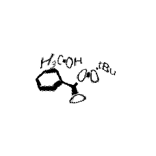 CC(C)(C)OOC(=O)c1ccccc1.CO